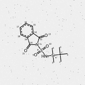 CC(C)(C)[Si](C)(C)NS(=O)(=O)N1C(=O)c2ccccc2C1=O